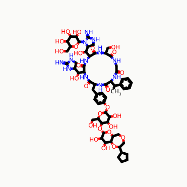 CC(c1ccccc1)C1NC(=O)CNC(=O)C(CO)NC(=O)C(C(O)C2CNC(=N)N2C2OC(CO)C(O)C(O)C2O)NC(=O)C(C(O)C2CNC(=N)N2)NC(=O)C(Cc2ccc(OC3OC(CO)C(OC4OC5COCC(C6CCCC6)OC5C(O)C4O)C(O)C3O)cc2)NC1=O